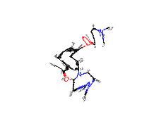 CC(=O)c1ccc(OCCN(C)C)cc1N1CCN(C)CC1